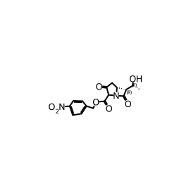 C[C@@H](O)[C@@H]1C(=O)N2C(C(=O)OCc3ccc([N+](=O)[O-])cc3)C(=O)CC12